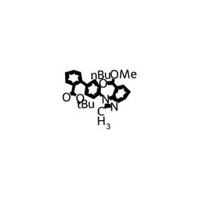 CCCCc1cc(-n2c(C)nc3cccc(C(=O)OC)c32)ccc1-c1ccccc1C(=O)OC(C)(C)C